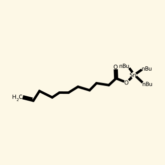 C=CCCCCCCCCC(=O)[O][Sn]([CH2]CCC)([CH2]CCC)[CH2]CCC